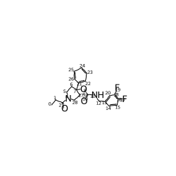 CCC(=O)N1CCC(OC(=O)NCc2ccc(F)c(F)c2)(c2ccccc2)CC1